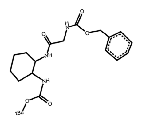 CC(C)(C)OC(=O)NC1CCCCC1NC(=O)CNC(=O)OCc1ccccc1